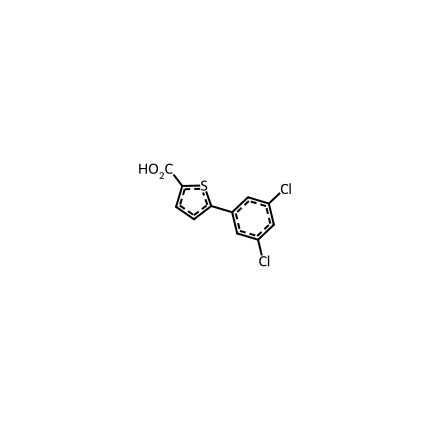 O=C(O)c1ccc(-c2cc(Cl)cc(Cl)c2)s1